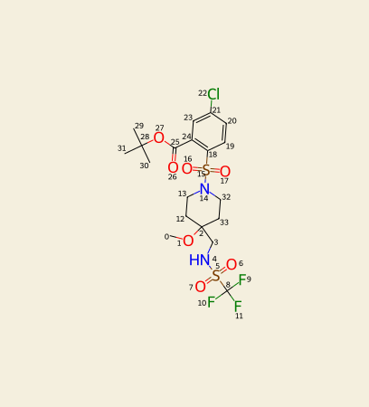 COC1(CNS(=O)(=O)C(F)(F)F)CCN(S(=O)(=O)c2ccc(Cl)cc2C(=O)OC(C)(C)C)CC1